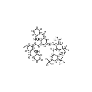 CC(c1cc(C(C)(C)C)cc(C(C)(C)C)c1O)c1cc(C(C)(C)C)cc(C(C)(C)C)c1O.Cc1cc(CCc2cc(C)cc(C(C)c3ccccc3)c2O)c(O)c(C(C)c2ccccc2)c1